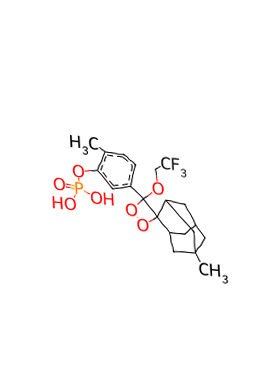 Cc1ccc(C2(OCC(F)(F)F)OOC23C2CC4CC3CC(C)(C4)C2)cc1OP(=O)(O)O